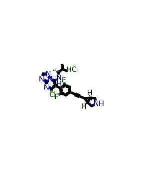 CC(C)[C@@H](C)Nc1c(-c2c(F)cc(C#CC3[C@H]4CNC[C@@H]34)cc2F)c(Cl)nc2ncnn12.Cl